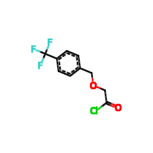 O=C(Cl)COCc1ccc(C(F)(F)F)cc1